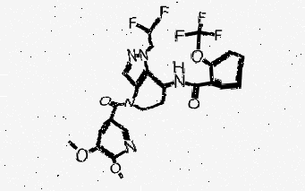 COc1cc(C(=O)N2CCC(NC(=O)c3ccccc3OC(F)(F)F)c3c2cnn3CC(F)F)cnc1OC